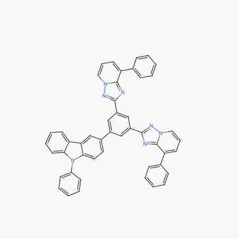 c1ccc(-c2cccn3nc(-c4cc(-c5ccc6c(c5)c5ccccc5n6-c5ccccc5)cc(-c5nc6c(-c7ccccc7)cccn6n5)c4)nc23)cc1